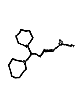 CCC[SiH2]C=CCC(N1CCCCC1)N1CCCCC1